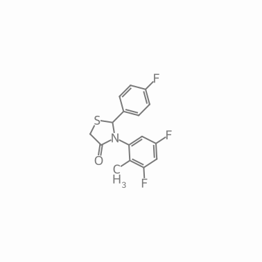 Cc1c(F)cc(F)cc1N1C(=O)CSC1c1ccc(F)cc1